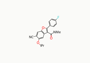 CNC(=O)c1c(-c2ccc(F)cc2)oc2cc(C#N)c(OC(C)C)cc12